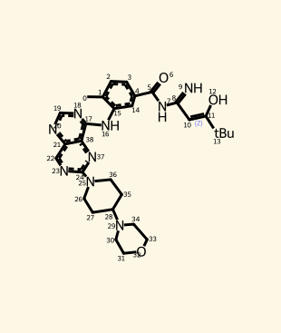 Cc1ccc(C(=O)NC(=N)/C=C(\O)C(C)(C)C)cc1Nc1ncnc2cnc(N3CCC(N4CCOCC4)CC3)nc12